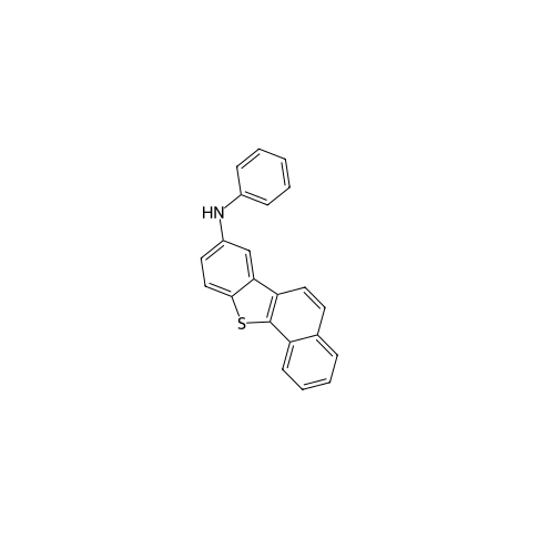 c1ccc(Nc2ccc3sc4c5ccccc5ccc4c3c2)cc1